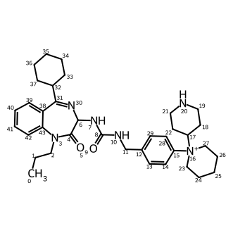 CCCN1C(=O)C(NC(=O)NCc2ccc([N+]3(C4CCNCC4)CCCCC3)cc2)N=C(C2CCCCC2)c2ccccc21